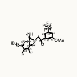 CC[C@@H](C)Oc1nn2c(=N)n(CC(=O)c3cc(OC)cc(S(F)(F)(F)(F)F)c3)nc2c(C)c1C